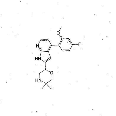 COc1cc(F)ccc1-c1ccnc2[nH]c(C3CNC(C)(C)CO3)cc12